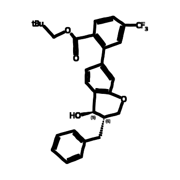 CC(C)(C)COC(=O)c1ccc(C(F)(F)F)cc1-c1ccc2c(c1)OC[C@H](Cc1ccccc1)[C@H]2O